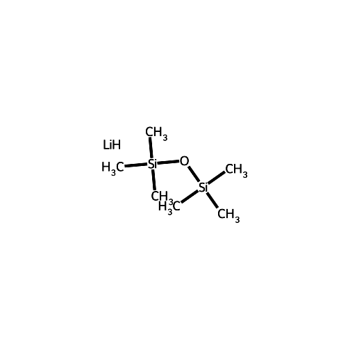 C[Si](C)(C)O[Si](C)(C)C.[LiH]